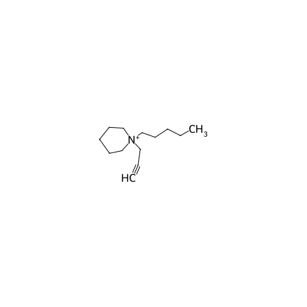 C#CC[N+]1(CCCCC)CCCCC1